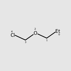 CCCOCCl